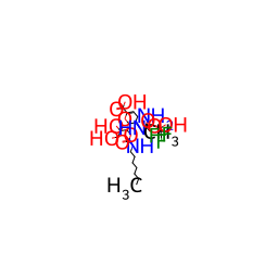 CCCCCCCNC(=O)OC(C(O)CO)[C@@H]1OC(C(=O)O)=C[C@H](N)[C@H]1NC(C)=O.O=C(O)C(F)(F)F